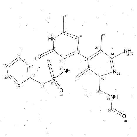 C=C1C(c2cc(C)[nH]c(=O)c2NS(=O)(=O)Cc2ccccc2)=C(C)C(N)=NC1CNC=O